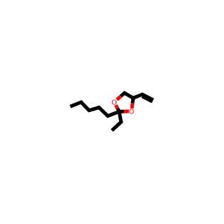 C=CC1COC(CC)(CCCCC)O1